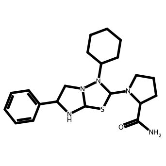 NC(=O)C1CCCN1C1SC2NC(c3ccccc3)CN2N1C1CCCCC1